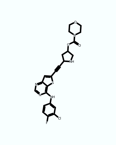 O=C(OC1CNC(C#Cc2cc3ncnc(Nc4ccc(F)c(Cl)c4)c3s2)C1)N1CCOCC1